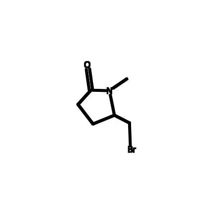 CN1C(=O)CCC1CBr